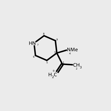 C=C(C)C1(NC)CCNCC1